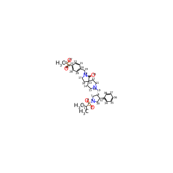 CC(C)S(=O)(=O)N1C[C@H](CN2CCC3(CC2)CCN(Cc2ccc(S(C)(=O)=O)cc2)C3=O)[C@@H](c2ccccc2)C1